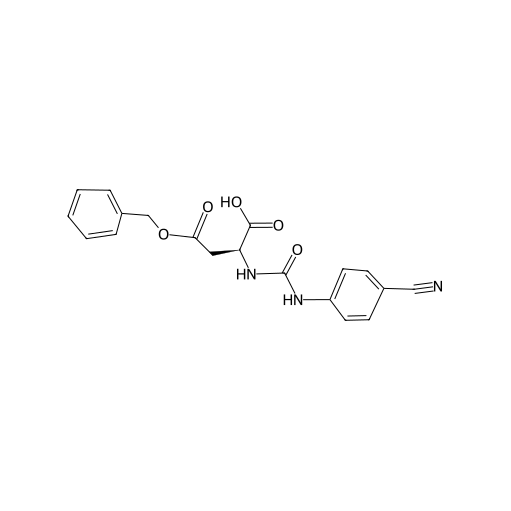 N#Cc1ccc(NC(=O)N[C@@H](CC(=O)OCc2ccccc2)C(=O)O)cc1